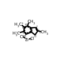 CC1=Cc2c(cc(C)c(C)c2C)[CH]1.[Cl][Zr][Cl]